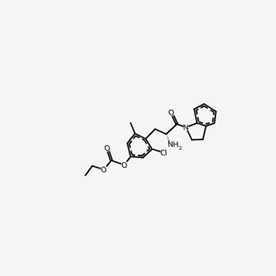 CCOC(=O)Oc1cc(C)c(C[C@@H](N)C(=O)N2CCc3ccccc32)c(Cl)c1